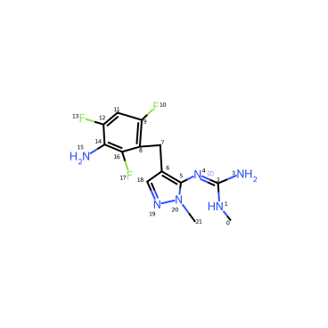 CN/C(N)=N\c1c(Cc2c(F)cc(F)c(N)c2F)cnn1C